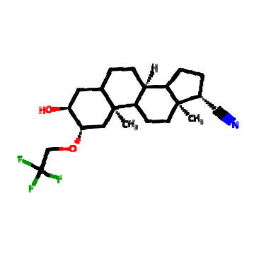 C[C@]12C[C@H](OCC(F)(F)F)[C@@H](O)CC1CC[C@@H]1C2CC[C@@]2(C)C1CC[C@@H]2C#N